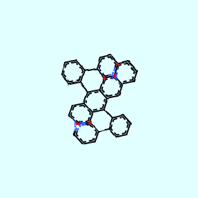 c1cncc(-c2ccccc2-c2c3ccccc3c(-c3ccccc3-c3cccnc3)c3cc4ccccc4cc23)c1